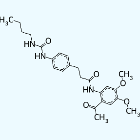 CCCCNC(=O)Nc1ccc(CCC(=O)Nc2cc(OC)c(OC)cc2C(C)=O)cc1